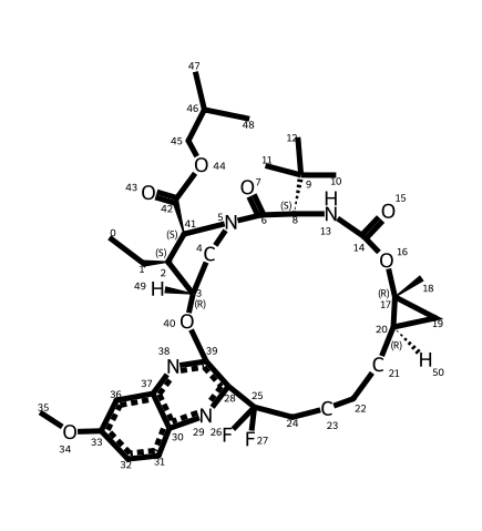 CC[C@@H]1[C@@H]2CN(C(=O)[C@H](C(C)(C)C)NC(=O)O[C@]3(C)C[C@H]3CCCCC(F)(F)c3nc4ccc(OC)cc4nc3O2)[C@@H]1C(=O)OCC(C)C